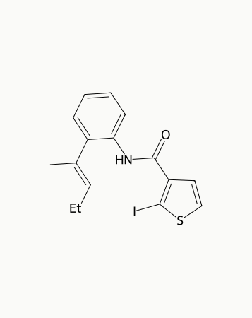 CCC=C(C)c1ccccc1NC(=O)c1ccsc1I